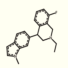 CCN1Cc2c(F)cccc2C(c2ccc3ccn(C)c3c2)C1